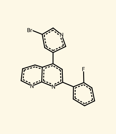 Fc1ccccc1-c1cc(-c2cncc(Br)c2)c2cccnc2n1